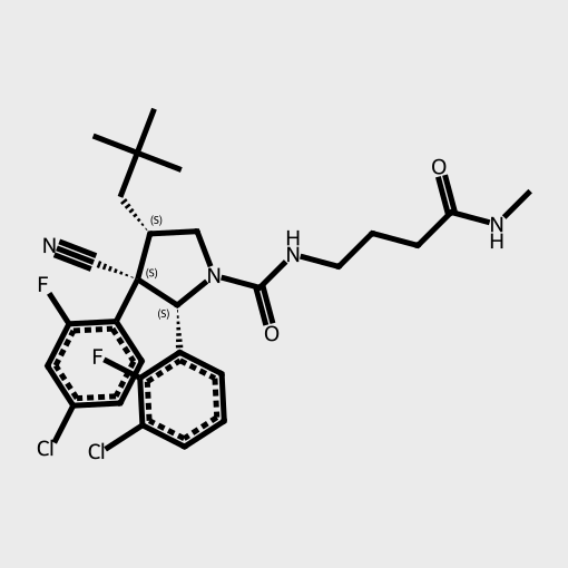 CNC(=O)CCCNC(=O)N1C[C@@H](CC(C)(C)C)[C@](C#N)(c2ccc(Cl)cc2F)[C@H]1c1cccc(Cl)c1F